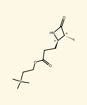 C[Si](C)(C)CCOC(=O)CC[C@H]1NC(=O)[C@@H]1I